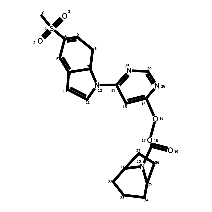 CS(=O)(=O)C1=CCC2C(=C1)C=CN2c1cc(OOC(=O)N2C3CCCC2CC3)ncn1